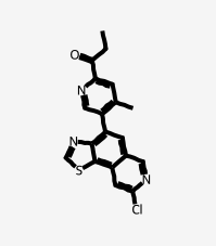 CCC(=O)c1cc(C)c(-c2cc3cnc(Cl)cc3c3scnc23)cn1